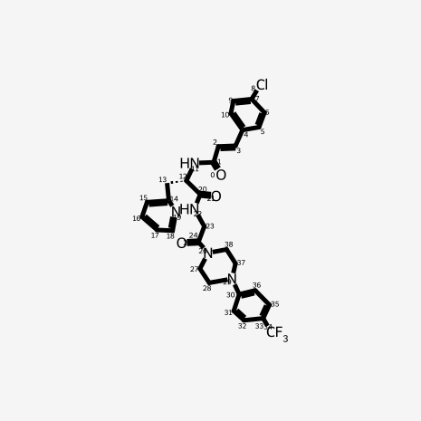 O=C(C=Cc1ccc(Cl)cc1)N[C@@H](Cc1ccccn1)C(=O)NCC(=O)N1CCN(c2ccc(C(F)(F)F)cc2)CC1